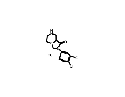 Cl.O=C1C2CNCCN2CN1c1ccc(Cl)c(Cl)c1